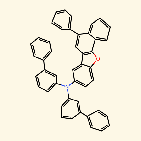 c1ccc(-c2cccc(N(c3cccc(-c4ccccc4)c3)c3ccc4oc5c6ccccc6c(-c6ccccc6)cc5c4c3)c2)cc1